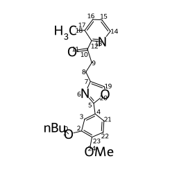 CCCCOc1cc(-c2nc(CCC(=O)c3ncccc3C)co2)ccc1OC